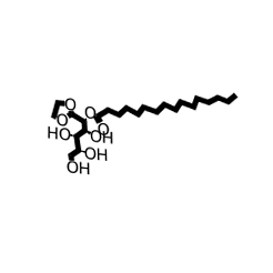 CCCCCCCCCCCCCCCC(=O)O[C@@H](C1OCCO1)[C@@H](O)[C@@H](O)[C@H](O)CO